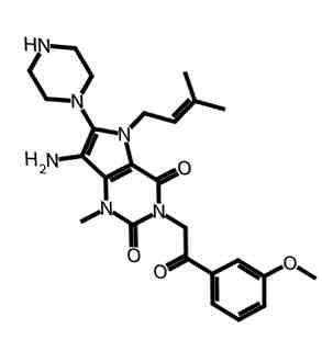 COc1cccc(C(=O)Cn2c(=O)c3c(c(N)c(N4CCNCC4)n3CC=C(C)C)n(C)c2=O)c1